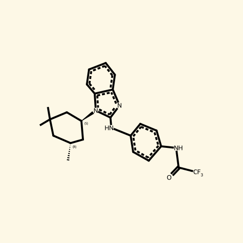 C[C@H]1C[C@H](n2c(Nc3ccc(NC(=O)C(F)(F)F)cc3)nc3ccccc32)CC(C)(C)C1